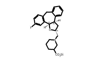 CCOC(=O)C1CCCN(C[C@H]2C[C@@H]3c4ccccc4Cc4ccc(F)cc4[C@@H]3O2)C1